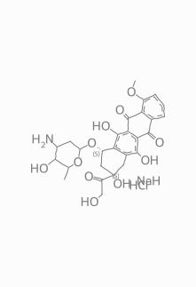 COc1cccc2c1C(=O)c1c(O)c3c(c(O)c1C2=O)C[C@@](O)(C(=O)CO)C[C@@H]3OC1CC(N)C(O)C(C)O1.Cl.[NaH]